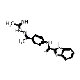 CC(=N)N/N=C(\C)c1ccc(NC(=O)c2nc3ccccc3[nH]2)cc1